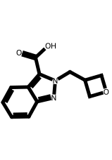 O=C(O)c1c2ccccc2nn1CC1COC1